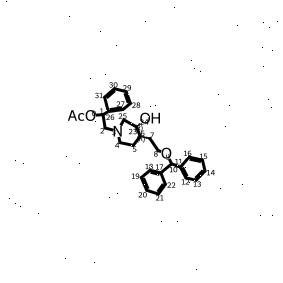 CC(=O)OC(CN1CC[C@H](CCOC(c2ccccc2)c2ccccc2)[C@@H](O)C1)c1ccccc1